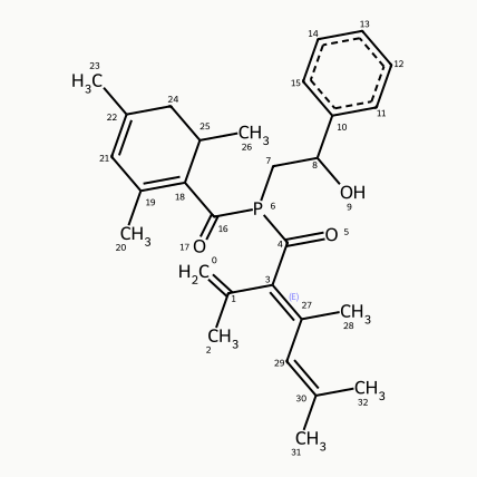 C=C(C)/C(C(=O)P(CC(O)c1ccccc1)C(=O)C1=C(C)C=C(C)CC1C)=C(/C)C=C(C)C